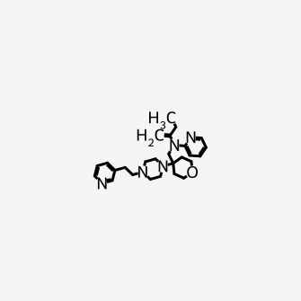 C=C(CC)N(CC1(N2CCN(CCc3cccnc3)CC2)CCOCC1)c1ccccn1